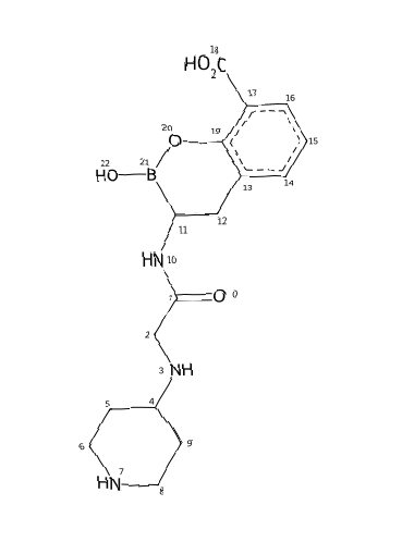 O=C(CNC1CCNCC1)NC1Cc2cccc(C(=O)O)c2OB1O